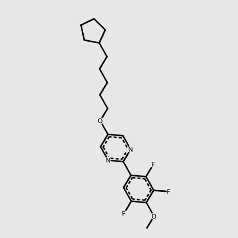 COc1c(F)cc(-c2ncc(OCCCCCC3CCCC3)cn2)c(F)c1F